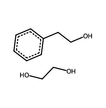 OCCO.OCCc1ccccc1